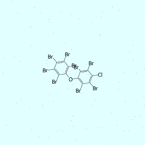 Clc1c(Br)c(Br)c(Oc2c(Br)c(Br)c(Br)c(Br)c2Br)c(Br)c1Br